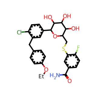 CCOc1ccc(Cc2cc(C3OC(CSc4cc(C(N)=O)ccc4F)C(O)C(O)C3O)ccc2Cl)cc1